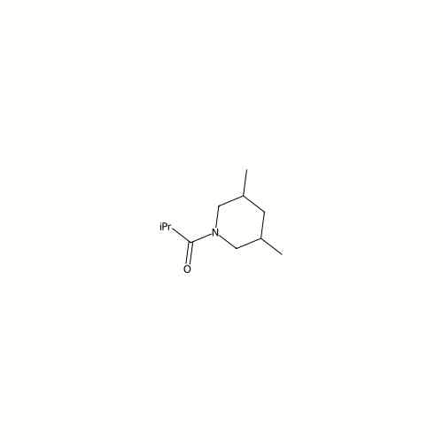 CC1CC(C)CN(C(=O)C(C)C)C1